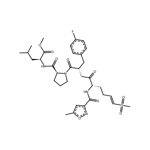 COC(=O)[C@H](CC(C)C)NC(=O)[C@@H]1CCCN1C(=O)[C@@H](CC(=O)[C@H](CC/C=C/S(C)(=O)=O)NC(=O)c1cc(C)on1)Cc1ccc(F)cc1